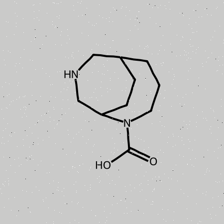 O=C(O)N1CCCC2CCC1CNC2